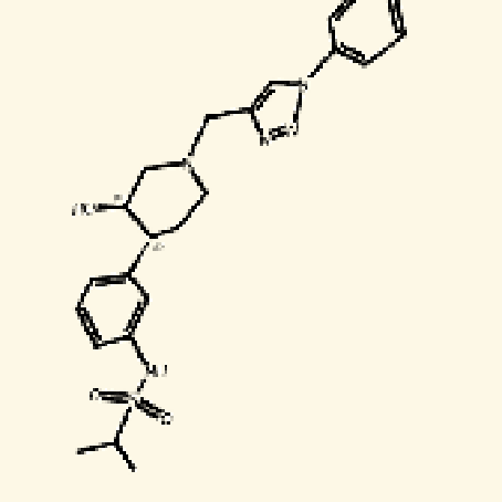 CC(C)S(=O)(=O)Nc1cccc([C@@H]2CCN(Cc3cn(-c4ccccc4)nn3)C[C@@H]2O)c1